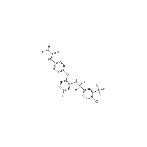 C=C(F)C(=O)Nc1ncc(Oc2ncc(C)cc2NS(=O)(=O)c2ccc(Cl)c(C(F)(F)F)c2)cn1